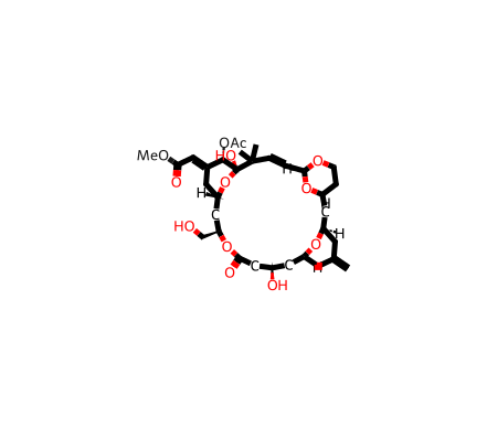 C=C1C[C@@H]2C[C@@H]3CCO[C@H](/C=C/C(C)(C)[C@]4(O)O[C@@H](C/C(=C\C(=O)OC)[C@@H]4OC(C)=O)C[C@H](CO)OC(=O)C[C@H](O)C[C@H](C1)O2)O3